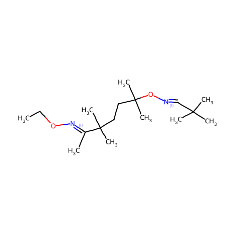 CCO/N=C(\C)C(C)(C)CCC(C)(C)O/N=C/C(C)(C)C